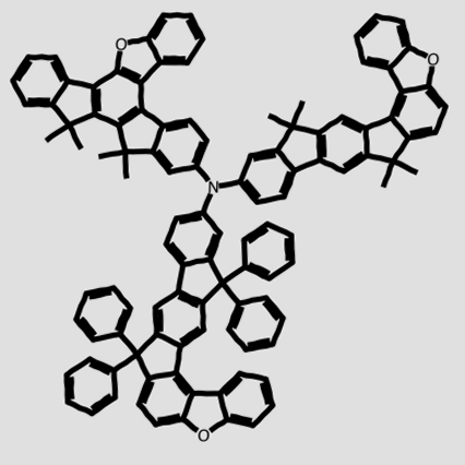 CC1(C)c2cc(N(c3ccc4c(c3)C(C)(C)c3c5c(c6oc7ccccc7c6c3-4)-c3ccccc3C5(C)C)c3ccc4c(c3)C(c3ccccc3)(c3ccccc3)c3cc5c(cc3-4)C(c3ccccc3)(c3ccccc3)c3ccc4oc6ccccc6c4c3-5)ccc2-c2cc3c(cc21)-c1c(ccc2oc4ccccc4c12)C3(C)C